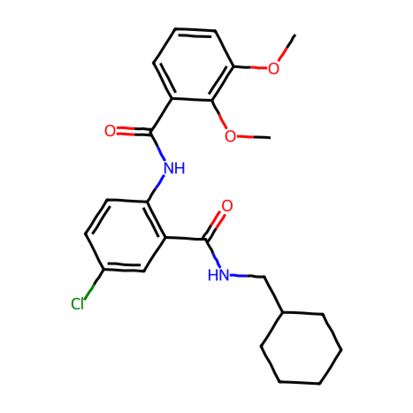 COc1cccc(C(=O)Nc2ccc(Cl)cc2C(=O)NCC2CCCCC2)c1OC